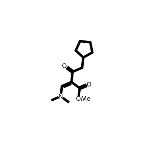 COC(=O)C(=CN(C)C)C(=O)CC1CCCC1